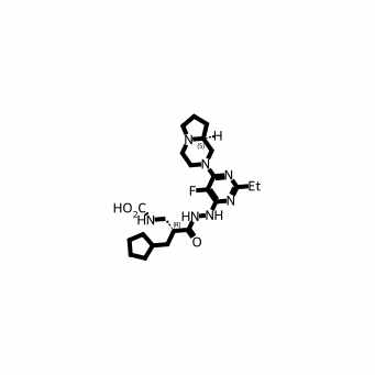 CCc1nc(NNC(=O)[C@@H](CNC(=O)O)CC2CCCC2)c(F)c(N2CCN3CCC[C@H]3C2)n1